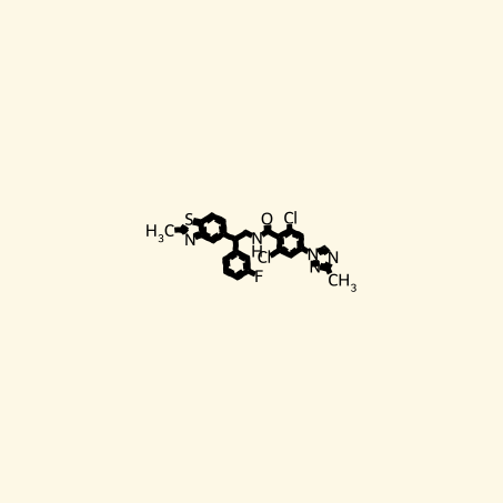 Cc1ncn(-c2cc(Cl)c(C(=O)NCC(c3cccc(F)c3)c3ccc4sc(C)nc4c3)c(Cl)c2)n1